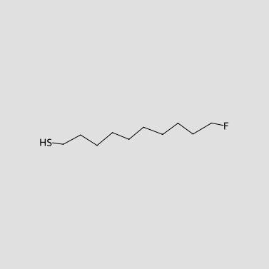 FCCCCCCCCCCS